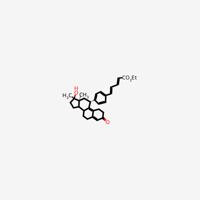 CCOC(=O)/C=C/C=C/c1ccc([C@H]2C[C@@]3(C)C(CC[C@]3(C)O)C3CCC4=CC(=O)CCC4=C32)cc1